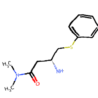 CN(C)C(=O)C[C@@H]([NH])CSc1ccccc1